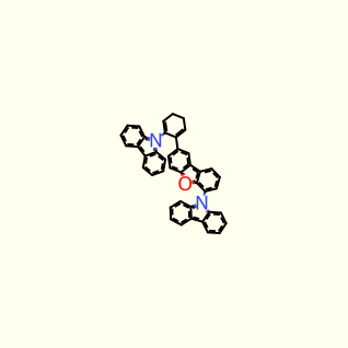 C1=C(c2ccc3oc4c(-n5c6ccccc6c6ccccc65)cccc4c3c2)C(n2c3ccccc3c3ccccc32)=CCC1